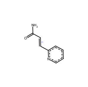 NC(=O)/C=C/c1ccccn1